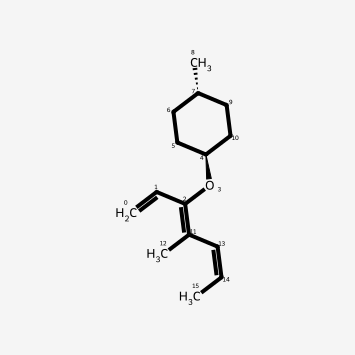 C=C/C(O[C@H]1CC[C@H](C)CC1)=C(C)/C=C\C